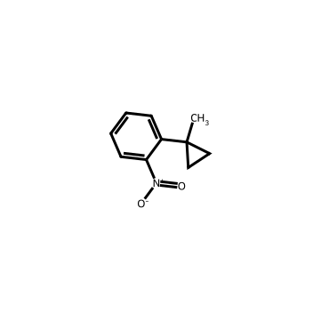 CC1(c2ccccc2[N+](=O)[O-])CC1